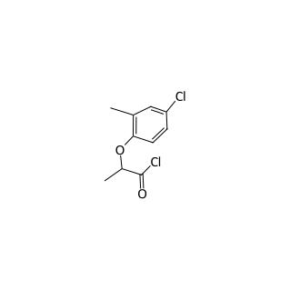 Cc1cc(Cl)ccc1OC(C)C(=O)Cl